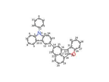 c1ccc(-n2c3ccccc3c3cc(-c4cc5c6c(cccc6c4)-c4oc6ccccc6c4-5)ccc32)cc1